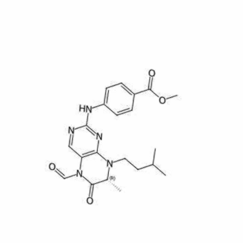 COC(=O)c1ccc(Nc2ncc3c(n2)N(CCC(C)C)[C@H](C)C(=O)N3C=O)cc1